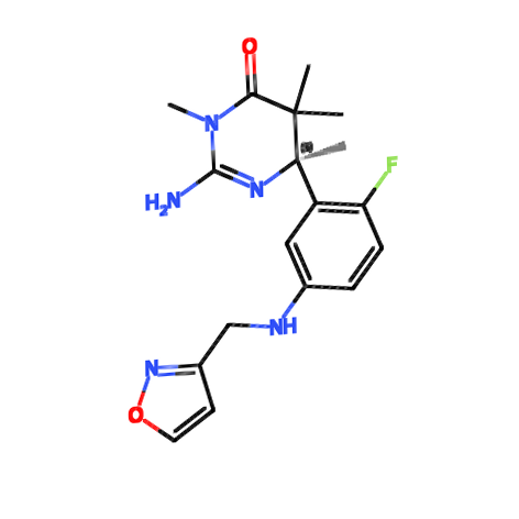 CN1C(=O)C(C)(C)[C@@](C)(c2cc(NCc3ccon3)ccc2F)N=C1N